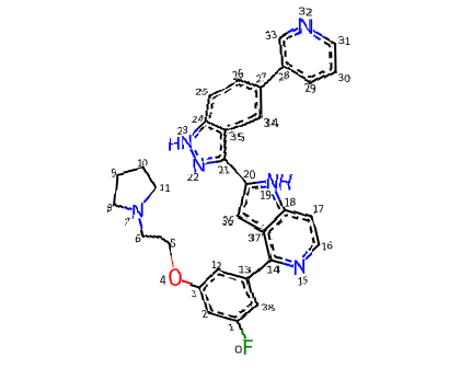 Fc1cc(OCCN2CCCC2)cc(-c2nccc3[nH]c(-c4n[nH]c5ccc(-c6cccnc6)cc45)cc23)c1